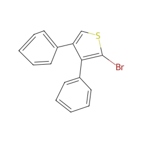 Brc1scc(-c2ccccc2)c1-c1ccccc1